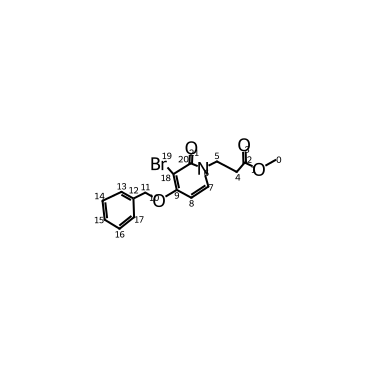 COC(=O)CCn1ccc(OCc2ccccc2)c(Br)c1=O